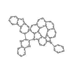 c1ccc(-n2c3ccc4ccc5ccc6ccc7c8c6c5c4c3c3c8c(ccc32)n7-c2nc3ccccc3nc2-c2ccc3sc4ccccc4c3c2)cc1